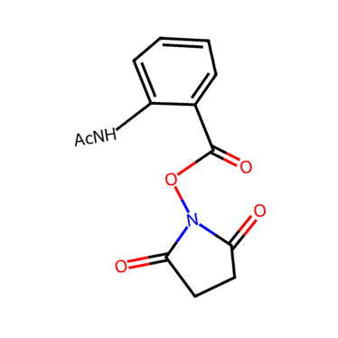 CC(=O)Nc1ccccc1C(=O)ON1C(=O)CCC1=O